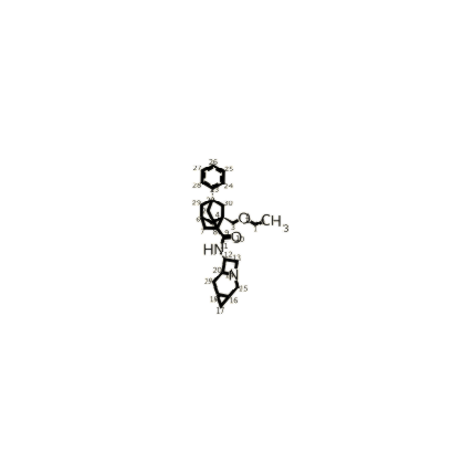 CCOC[C@]12CC3CC1(C(=O)N[C@@H]1CN4CC5CC5CC14)C[C@@](c1ccccc1)(C3)C2